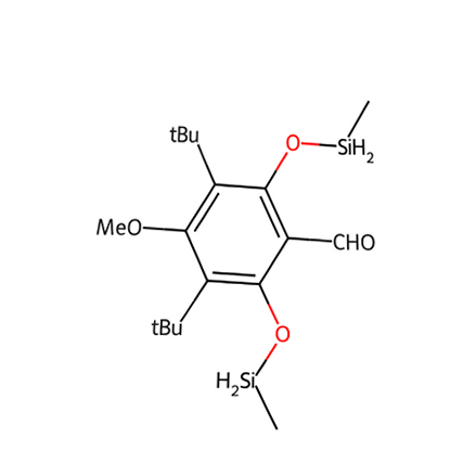 COc1c(C(C)(C)C)c(O[SiH2]C)c(C=O)c(O[SiH2]C)c1C(C)(C)C